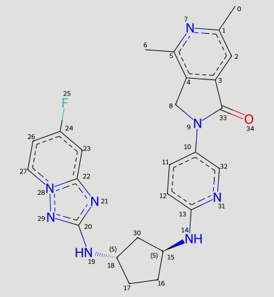 Cc1cc2c(c(C)n1)CN(c1ccc(N[C@H]3CC[C@H](Nc4nc5cc(F)ccn5n4)C3)nc1)C2=O